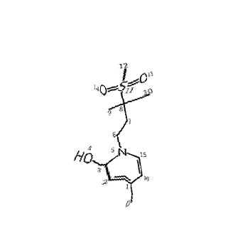 CC1=CC(O)N(CCC(C)(C)S(C)(=O)=O)C=C1